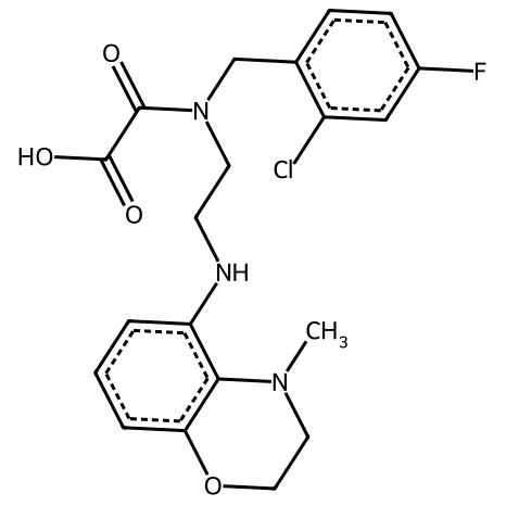 CN1CCOc2cccc(NCCN(Cc3ccc(F)cc3Cl)C(=O)C(=O)O)c21